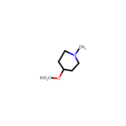 CCOC(=O)OC1CCN(C)CC1